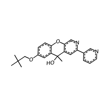 CC(C)(C)COc1ccc2c(c1)C(C)(O)c1cc(-c3cccnc3)ncc1O2